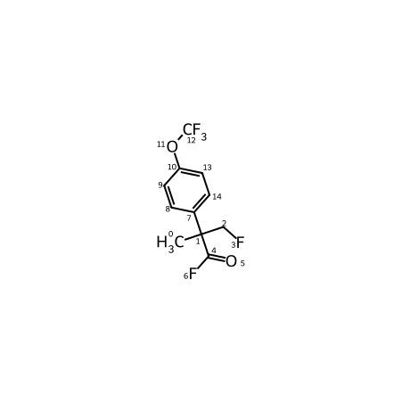 CC(CF)(C(=O)F)c1ccc(OC(F)(F)F)cc1